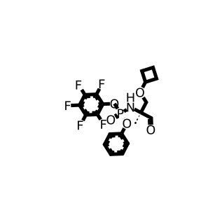 C[C@@](C=O)(COC1CCC1)NP(=O)(Oc1ccccc1)Oc1c(F)c(F)c(F)c(F)c1F